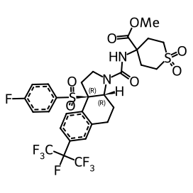 COC(=O)C1(NC(=O)N2CC[C@@]3(S(=O)(=O)c4ccc(F)cc4)c4ccc(C(F)(C(F)(F)F)C(F)(F)F)cc4CC[C@@H]23)CCS(=O)(=O)CC1